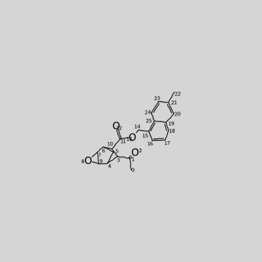 CC(=O)C1C2CC(C3OC23)C1C(=O)OCc1cccc2cc(C)ccc12